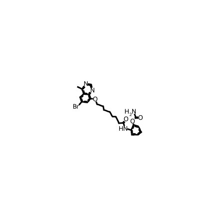 Cc1ncnc2c(OCCCCCCCC(=O)Nc3ccccc3OC(N)=O)cc(Br)cc12